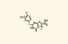 C=C1NC(Cc2ccc(F)c(Cl)c2)=Nc2sc(C(=O)O)c(C)c21